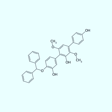 COc1cc(-c2ccc(O)cc2)c(OC)c(O)c1-c1ccc(OC(c2ccccc2)c2ccccc2)c(O)c1